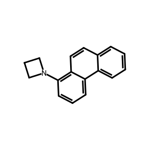 c1ccc2c(c1)ccc1c(N3CCC3)cccc12